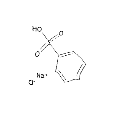 O=S(=O)(O)c1ccccc1.[Cl-].[Na+]